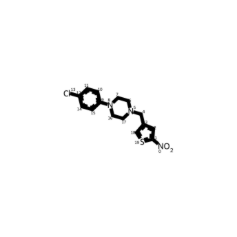 O=[N+]([O-])c1cc(CN2CCN(c3ccc(Cl)cc3)CC2)cs1